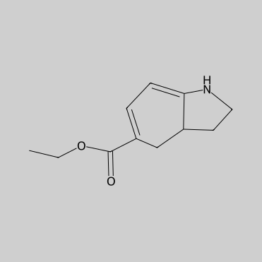 CCOC(=O)C1=CC=C2NCCC2C1